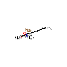 Br.CCCCCCCCCCCCCCCCC1(N(C)C)OC1CCCC